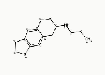 CCCNC1CCc2cc3c(cc2C1)SCC3